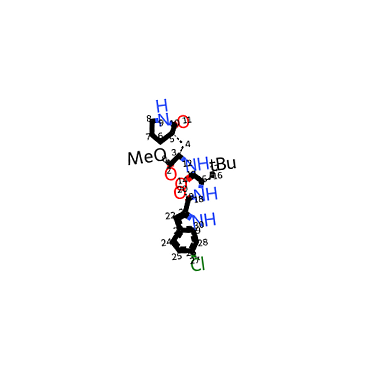 COC(=O)[C@H](C[C@@H]1CCCNC1=O)NC(=O)[C@H](CC(C)(C)C)NC(=O)c1cc2ccc(Cl)cc2[nH]1